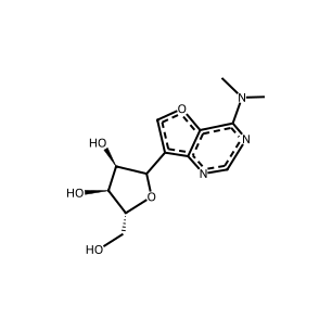 CN(C)c1ncnc2c(C3O[C@H](CO)[C@@H](O)[C@H]3O)coc12